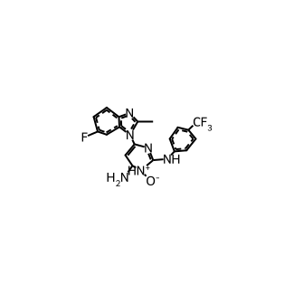 Cc1nc2ccc(F)cc2n1C1=CC(N)[NH+]([O-])C(Nc2ccc(C(F)(F)F)cc2)=N1